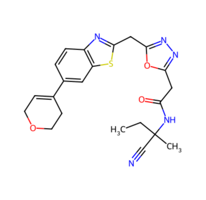 CCC(C)(C#N)NC(=O)Cc1nnc(Cc2nc3ccc(C4=CCOCC4)cc3s2)o1